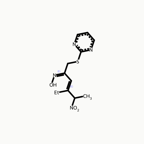 CC/C(=C\C(CSc1ncccn1)=N/O)C(C)[N+](=O)[O-]